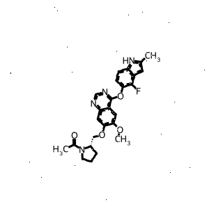 COc1cc2c(Oc3ccc4[nH]c(C)cc4c3F)ncnc2cc1OC[C@@H]1CCCN1C(C)=O